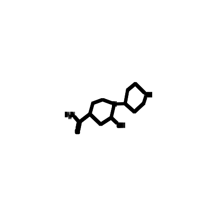 NC(=O)C1CCN(C2CCNCC2)C(O)C1